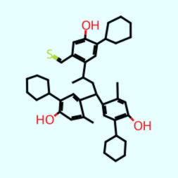 Cc1cc(O)c(C2CCCCC2)cc1C(CC(C)c1cc(C2CCCCC2)c(O)cc1C=S)c1cc(C2CCCCC2)c(O)cc1C